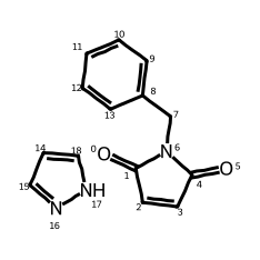 O=C1C=CC(=O)N1Cc1ccccc1.c1cn[nH]c1